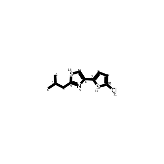 CC(C)Cc1nc(-c2ccc(Cl)s2)cs1